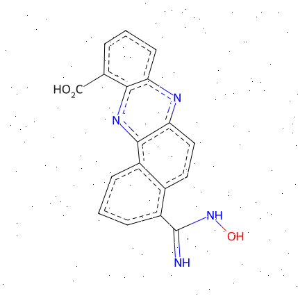 N=C(NO)c1cccc2c1ccc1nc3cccc(C(=O)O)c3nc12